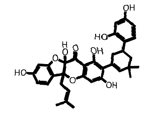 CC(C)=CCC12Oc3cc(O)c(C4=CC(C)(C)CC(c5ccc(O)cc5O)C4)c(O)c3C(=O)C1(O)Oc1cc(O)ccc12